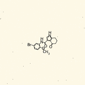 COc1ccc(Br)cc1NC(=O)c1c[nH]c2c1C(=O)CCC2